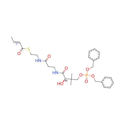 C/C=C/C(=O)SCCNC(=O)CCNC(=O)[C@H](O)C(C)(C)COP(=O)(OCc1ccccc1)OCc1ccccc1